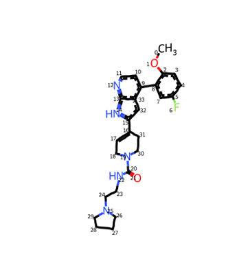 COc1ccc(F)cc1-c1ccnc2[nH]c(C3=CCN(C(=O)NCCN4CCCC4)CC3)cc12